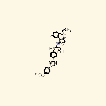 Cc1ccc(OCC(F)(F)F)c(N2C(=O)CS/C2=N\C(=O)Nc2ccc(-c3ncn(-c4ccc(OC(F)(F)F)cc4)n3)cc2O)c1